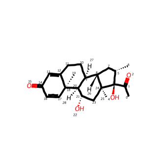 CC(=O)[C@@]1(O)[C@@H](C)C[C@H]2[C@@H]3CCC4=CC(=O)C=C[C@]4(C)[C@@H]3[C@@H](O)C[C@@]21C